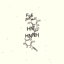 C#Cc1cccc(NNC(=C)Nc2cccc(C(F)(F)F)c2)c1